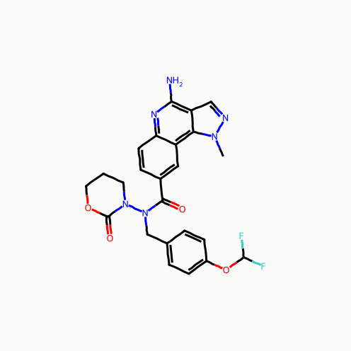 Cn1ncc2c(N)nc3ccc(C(=O)N(Cc4ccc(OC(F)F)cc4)N4CCCOC4=O)cc3c21